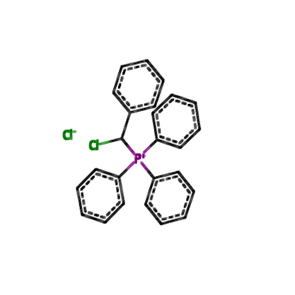 ClC(c1ccccc1)[P+](c1ccccc1)(c1ccccc1)c1ccccc1.[Cl-]